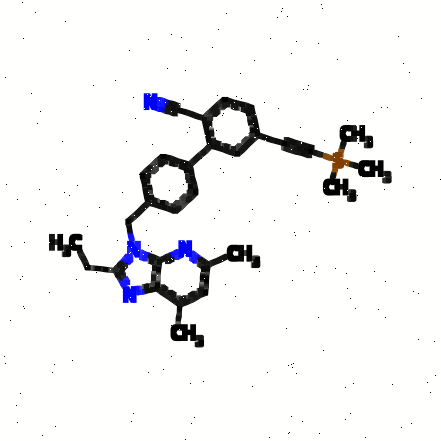 CCc1nc2c(C)cc(C)nc2n1Cc1ccc(-c2cc(C#CS(C)(C)C)ccc2C#N)cc1